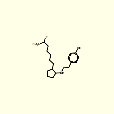 CCC(CCCCCC1CCCC1NCCc1ccc(O)cc1)C(=O)O